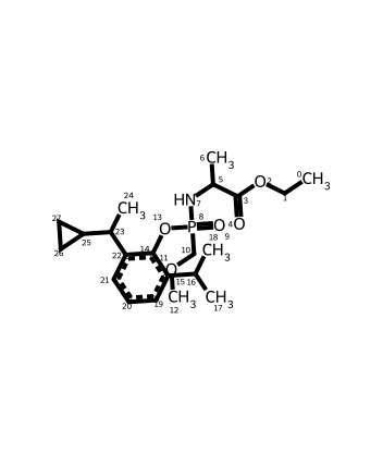 CCOC(=O)C(C)NP(=O)(COC)Oc1c(C(C)C)cccc1C(C)C1CC1